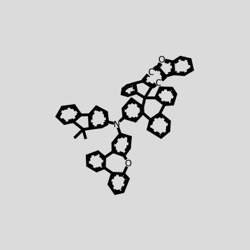 CC1(C)c2ccccc2-c2ccc(N(c3ccc4c(c3)-c3ccccc3-c3ccccc3O4)c3ccc4c(c3)-c3ccccc3-c3ccccc3C43c4ccccc4-c4cc5oc6ccccc6c5cc43)cc21